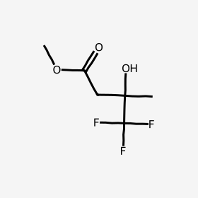 COC(=O)CC(C)(O)C(F)(F)F